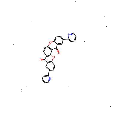 O=c1c2cc(-c3ccccn3)ccc2oc2c1ccc1oc3ccc(-c4ccccn4)cc3c(=O)c12